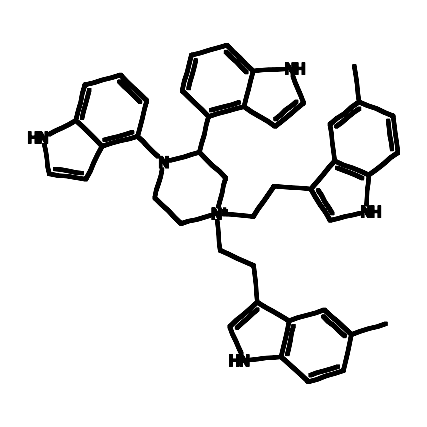 Cc1ccc2[nH]cc(CC[N+]3(CCc4c[nH]c5ccc(C)cc45)CCN(c4cccc5[nH]ccc45)C(c4cccc5[nH]ccc45)C3)c2c1